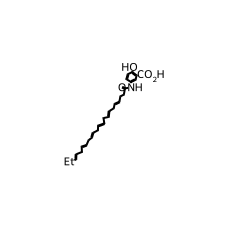 CCC=CCC=CCC=CCC=CCC=CCC=CCCC(=O)Nc1ccc(O)c(C(=O)O)c1